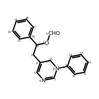 O=COC(CC1=CN=CN(c2ccccc2)C1)c1ccccc1